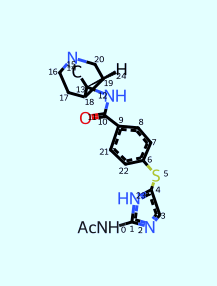 CC(=O)Nc1ncc(Sc2ccc(C(=O)N[C@H]3CN4CCC3CC4)cc2)[nH]1